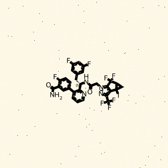 NC(=O)c1cc(-c2cccnc2[C@H](Cc2cc(F)cc(F)c2)NC(=O)Cn2nc(C(F)(F)F)c3c2C(F)(F)C2CC32I)ccc1F